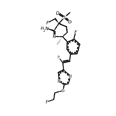 C[C@@]1(c2cc(/C=C(\F)c3cnc(OCCF)cn3)ccc2F)CC[C@@](CF)(S(C)(=O)=O)C(N)=N1